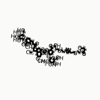 COc1ccc2c(OS(=O)(=O)Oc3cc(C(=O)N(C)CCOCCn4cc(CCOCCN5C(=O)C=CC5=O)nn4)ccc3O[C@@H]3O[C@H](CO)[C@H](O)[C@H](O)[C@H]3O)cc3c(c2c1)[C@H](CCl)CN3C(=O)c1cc2ccc(OC3O[C@H](CO)[C@H](O)[C@H](O)[C@H]3O)c(C(C)=O)c2[nH]1